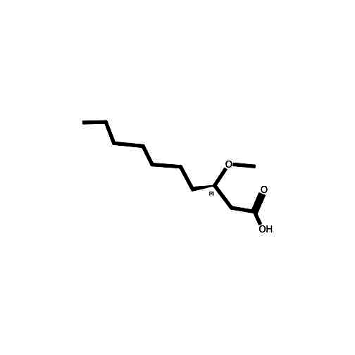 CCCCCCC[C@H](CC(=O)O)OC